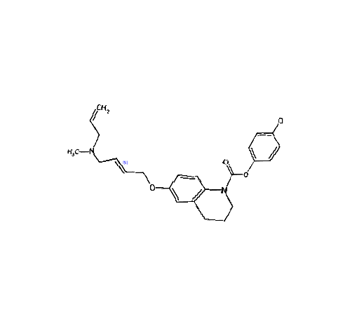 C=CCN(C)C/C=C/COc1ccc2c(c1)CCCN2C(=O)Oc1ccc(Cl)cc1